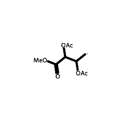 [CH2]C(OC(C)=O)C(OC(C)=O)C(=O)OC